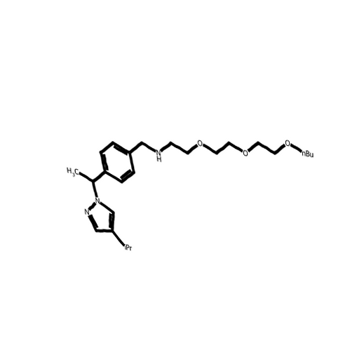 CCCCOCCOCCOCCNCc1ccc(C(C)n2cc(C(C)C)cn2)cc1